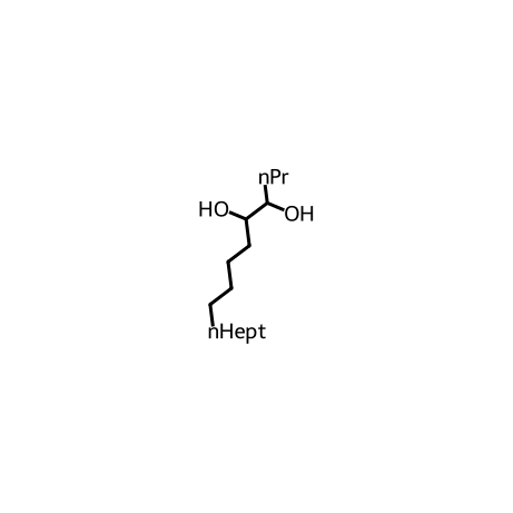 CCCCCCCCCCCC(O)C(O)CCC